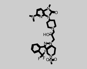 CN(C)c1ccc2c(n1)n(C1CCN(C[C@H](O)Cn3nc(-c4ccccc4C(F)(F)F)c4c3CCN(S(C)(=O)=O)C4)CC1)c(=O)n2C